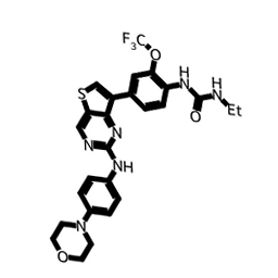 CCNC(=O)Nc1ccc(-c2csc3cnc(Nc4ccc(N5CCOCC5)cc4)nc23)cc1OC(F)(F)F